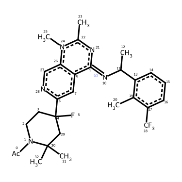 CC(=O)N1CCC(F)(c2cc3/c(=N/C(C)c4cccc(C(F)(F)F)c4C)nc(C)n(C)c3cn2)CC1(C)C